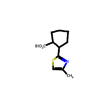 CCOC(=O)C1CCCCC1c1nc(C)cs1